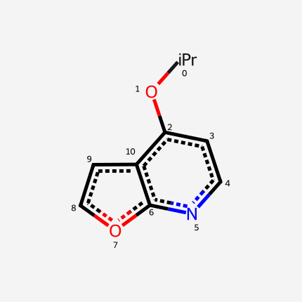 CC(C)Oc1ccnc2occc12